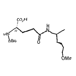 CCCCN[C@@H](CCC(=O)NC(C)CCOC)C(=O)O